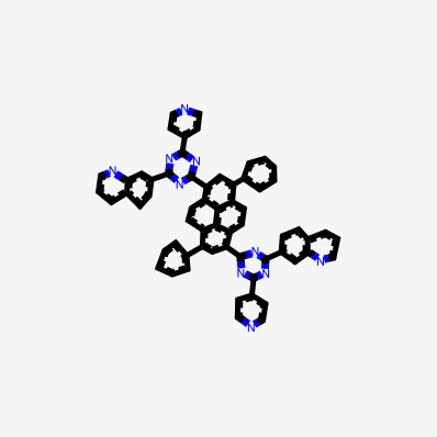 c1ccc(-c2cc(-c3nc(-c4ccncc4)nc(-c4ccc5cccnc5c4)n3)c3ccc4c(-c5ccccc5)cc(-c5nc(-c6ccncc6)nc(-c6ccc7cccnc7c6)n5)c5ccc2c3c45)cc1